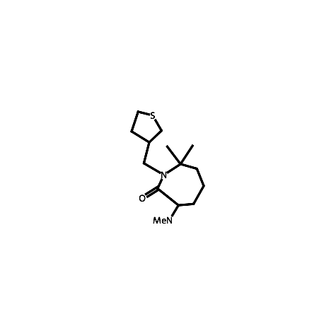 CNC1CCCC(C)(C)N(CC2CCSC2)C1=O